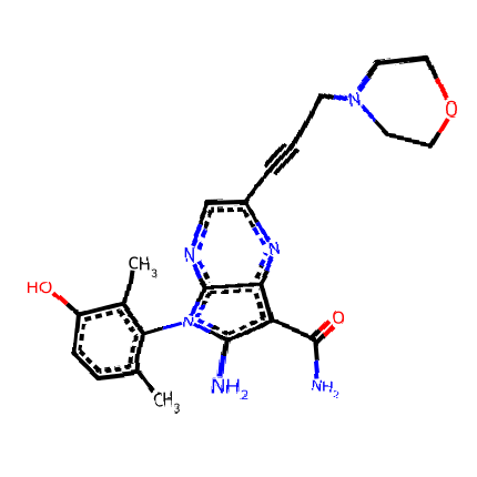 Cc1ccc(O)c(C)c1-n1c(N)c(C(N)=O)c2nc(C#CCN3CCOCC3)cnc21